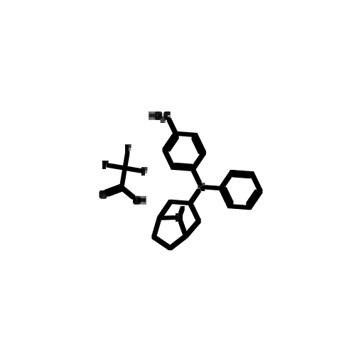 CN1C2CCC1CC(N(c1ccccc1)c1ccc(C(=O)O)cc1)C2.O=C(O)C(F)(F)F